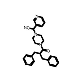 N#CC(c1cccnc1)N1CCN(C(=O)C(Cc2ccccc2)Cc2ccccc2)CC1